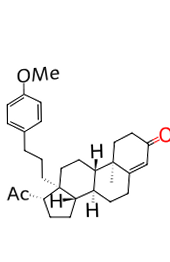 COc1ccc(CCC[C@]23CC[C@H]4[C@@H](CCC5=CC(=O)CC[C@@]54C)[C@@H]2CC[C@@H]3C(C)=O)cc1